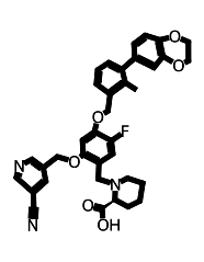 Cc1c(COc2cc(OCc3cncc(C#N)c3)c(CN3CCCC[C@H]3C(=O)O)cc2F)cccc1-c1ccc2c(c1)OCCO2